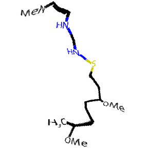 CN/C=C\NCNSCCC(CCC(C)OC)OC